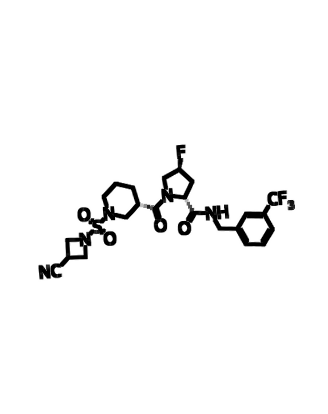 N#CC1CN(S(=O)(=O)N2CCC[C@H](C(=O)N3C[C@@H](F)C[C@@H]3C(=O)NCc3cccc(C(F)(F)F)c3)C2)C1